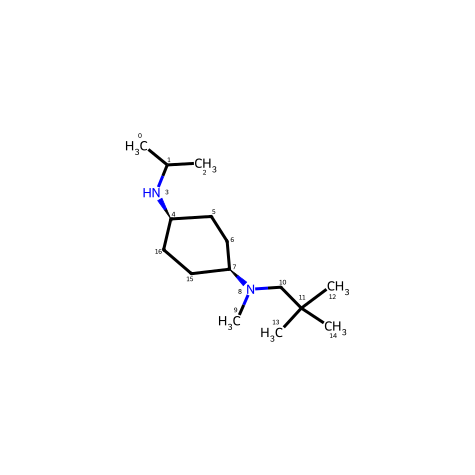 CC(C)N[C@H]1CC[C@@H](N(C)CC(C)(C)C)CC1